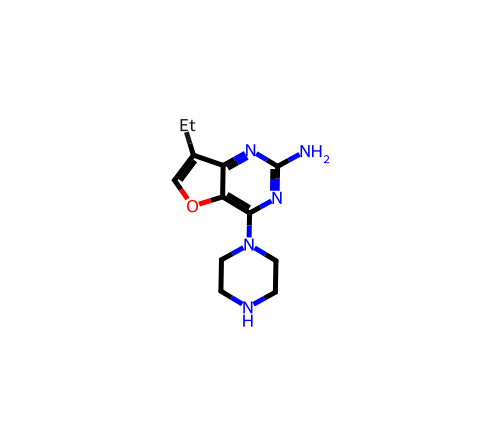 CCc1coc2c(N3CCNCC3)nc(N)nc12